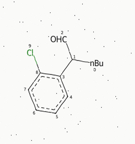 CCCCC(C=O)c1ccccc1Cl